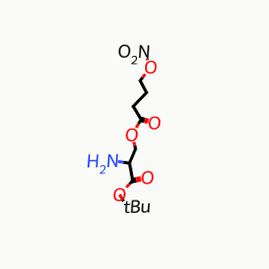 CC(C)(C)OC(=O)C(N)COC(=O)CCCO[N+](=O)[O-]